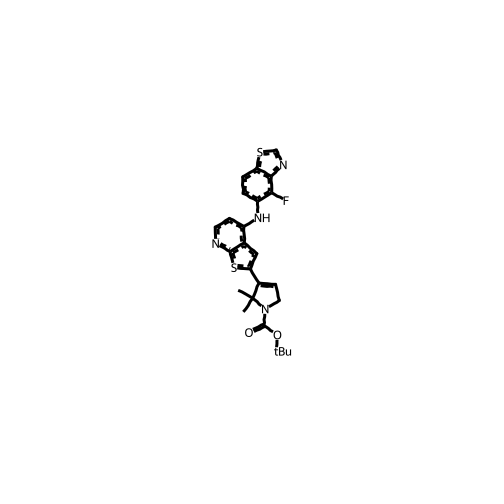 CC(C)(C)OC(=O)N1CC=C(c2cc3c(Nc4ccc5scnc5c4F)ccnc3s2)C1(C)C